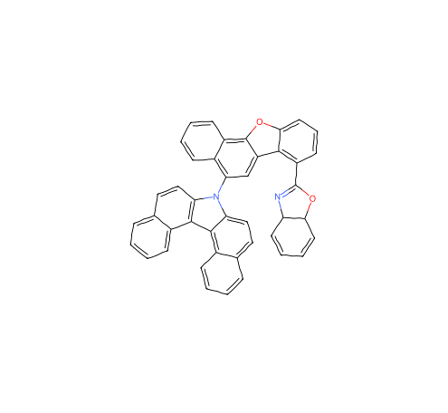 C1=CC2N=C(c3cccc4oc5c6ccccc6c(-n6c7ccc8ccccc8c7c7c8ccccc8ccc76)cc5c34)OC2C=C1